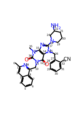 Cc1cc2ccccc2c(Cn2c(=O)c3c(nc(N4CCCC(N)C4)n3Cc3ccccc3C#N)n(C)c2=O)n1